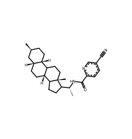 C[C@H]1CC[C@@H]2C3CC[C@@]4(C)C(CCC4[C@@H](C)NC(=O)c4ccc(C#N)cn4)[C@@H]3CC[C@@H]2C1